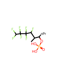 CCCC(OP(=O)(O)O)C(C)C(F)C(F)(F)C(F)(F)C(F)F